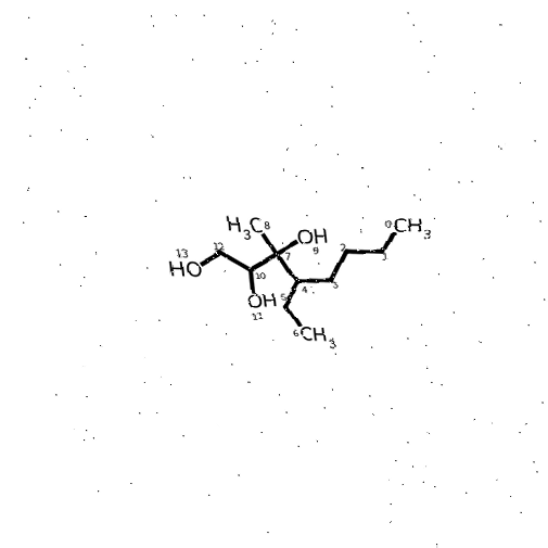 CCCCC(CC)C(C)(O)C(O)CO